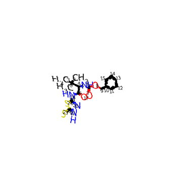 CC(C)(C)C(NC(=O)OCc1ccccc1)C(=O)Nc1n[nH]c(=S)s1